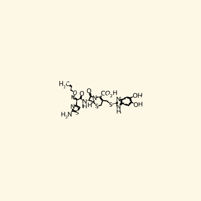 C=CCO/N=C(\C(=O)N[C@@H]1C(=O)N2C(C(=O)O)=C(CSc3nc4cc(O)c(O)cc4[nH]3)CS[C@H]12)c1csc(N)n1